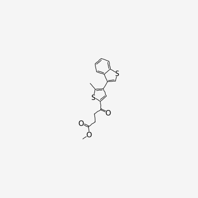 COC(=O)CCC(=O)c1cc(-c2csc3ccccc23)c(C)s1